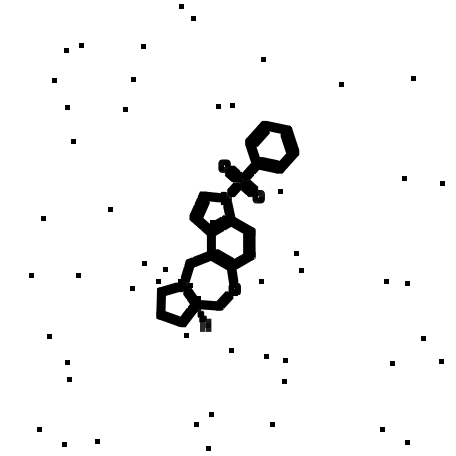 O=S(=O)(c1ccccc1)n1ccc2c3c(ccc21)OC[C@H]1CCCN1C3